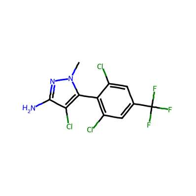 Cn1nc(N)c(Cl)c1-c1c(Cl)cc(C(F)(F)F)cc1Cl